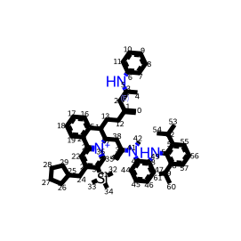 C=C(/C=C(\C)Nc1ccccc1)CCC1c2ccccc2-c2cc(CC3CCCC3)c([Si](C)(C)C)c[n+]2C1CC(=C)N(C)c1ccccc1Nc1c(C(C)C)cccc1C(C)C